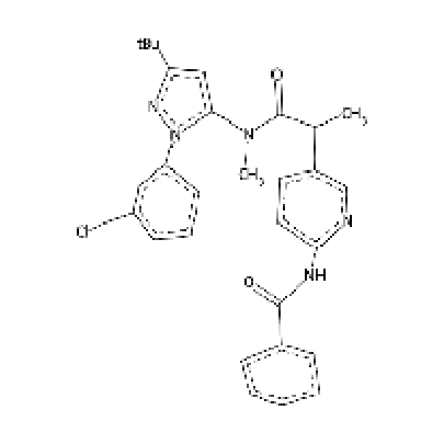 CC(C(=O)N(C)c1cc(C(C)(C)C)nn1-c1cccc(Cl)c1)c1ccc(NC(=O)c2ccccc2)nc1